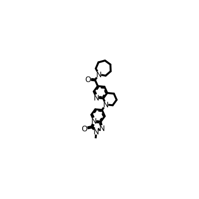 Cn1nc2cc(N3CCCc4cc(C(=O)N5CCCCCC5)cnc43)ccn2c1=O